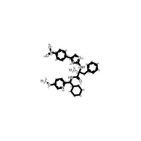 COc1ccc(C(NC(=O)[C@](C)(Cc2ccccc2)Nc2nc(-c3ccc([N+](=O)[O-])cc3)co2)C2CCCCC2)nc1